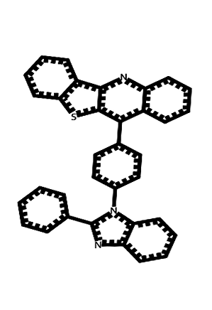 c1ccc(-c2nc3ccccc3n2-c2ccc(-c3c4ccccc4nc4c3sc3ccccc34)cc2)cc1